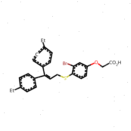 CCc1ccc(C(=CCSc2ccc(OCC(=O)O)cc2Br)c2ccc(CC)cc2)cc1